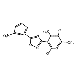 Cc1nc(Cl)c(-c2noc(-c3cccc([N+](=O)[O-])c3)n2)c(C)c1Cl